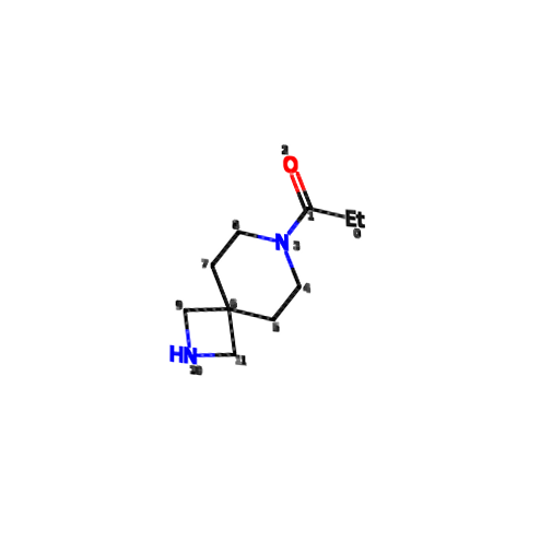 CCC(=O)N1CCC2(CC1)CNC2